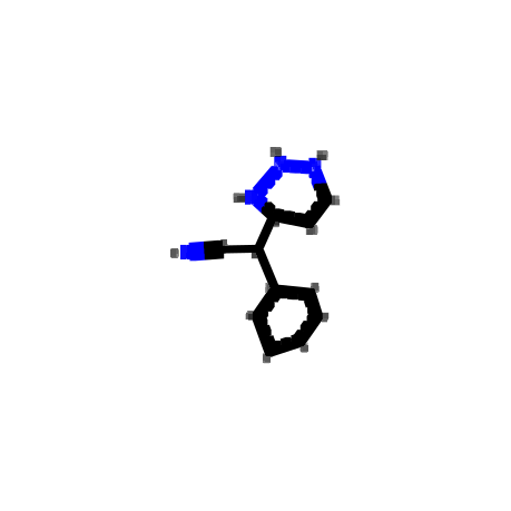 N#CC(c1ccccc1)c1ccnnn1